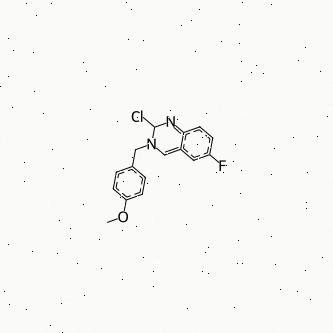 COc1ccc(CN2C=c3cc(F)ccc3=NC2Cl)cc1